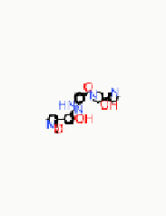 COc1ncccc1-c1ccc(O)c(-c2nc3cc(C(=O)N4CCC(O)(c5cccnc5)CC4)ccc3[nH]2)c1